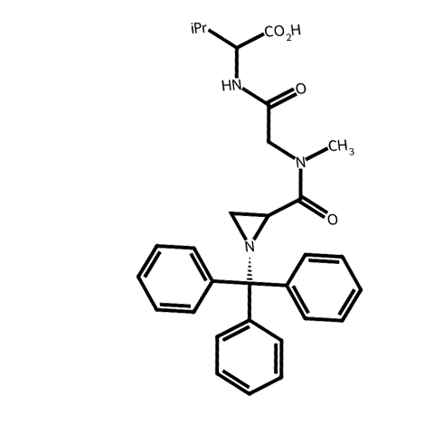 CC(C)C(NC(=O)CN(C)C(=O)C1C[N@@]1C(c1ccccc1)(c1ccccc1)c1ccccc1)C(=O)O